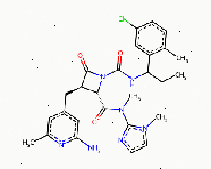 CCC(NC(=O)N1C(=O)[C@H](Cc2cc(C)nc(N)c2)[C@H]1C(=O)N(C)c1nccn1C)c1cc(Cl)ccc1C